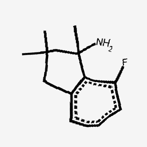 CC1(C)Cc2cccc(F)c2C1(C)N